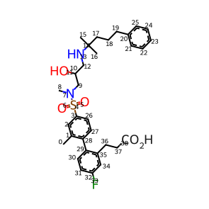 Cc1cc(S(=O)(=O)N(C)CC(O)CNC(C)(C)CCCc2ccccc2)ccc1-c1ccc(F)cc1CCC(=O)O